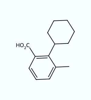 Cc1cccc(C(=O)O)c1C1CCCCC1